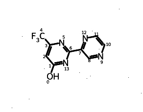 Oc1cc(C(F)(F)F)nc(-c2cnccn2)n1